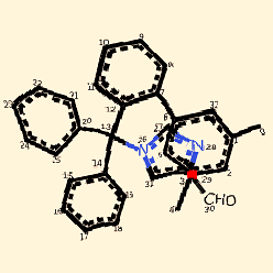 Cc1cc(C)cc(-c2ccccc2C(c2ccccc2)(c2ccccc2)n2cnc(C=O)c2)c1